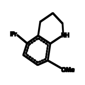 COc1ccc(C(C)C)c2c1NCCC2